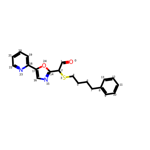 O=CC(SCCCCc1ccccc1)c1ncc(-c2ccccn2)o1